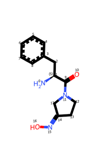 N[C@@H](Cc1ccccc1)C(=O)N1CCC(=NO)C1